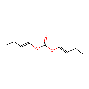 CCC=COC(=O)OC=CCC